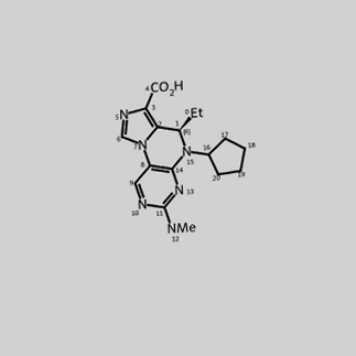 CC[C@@H]1c2c(C(=O)O)ncn2-c2cnc(NC)nc2N1C1CCCC1